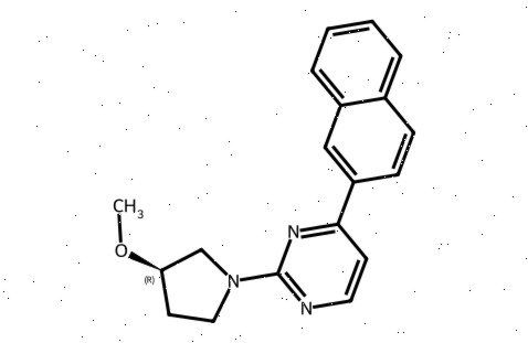 CO[C@@H]1CCN(c2nccc(-c3ccc4ccccc4c3)n2)C1